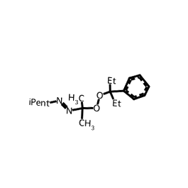 CCCC(C)/N=N/C(C)(C)OOC(CC)(CC)c1ccccc1